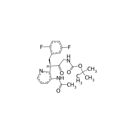 CC(=O)Nc1cccnc1[C@@H](Cc1cc(F)ccc1F)C(=O)CNC(=O)OC(C)(C)C